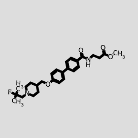 COC(=O)CCNC(=O)c1ccc(-c2ccc(OCC3CCN(CC(C)(C)F)CC3)cc2)cc1